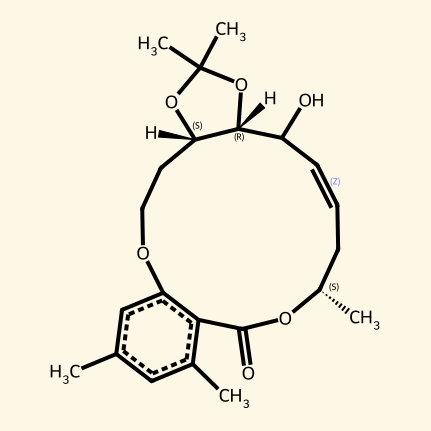 Cc1cc(C)c2c(c1)OCC[C@@H]1OC(C)(C)O[C@@H]1C(O)/C=C\C[C@H](C)OC2=O